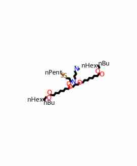 CCCCCCC(CCCC)COC(=O)CCCCCCCOCC(COCCCCCCCC(=O)OCC(CCCC)CCCCCC)N(CCCCN(C)C)C(=O)CCSSCCCCC